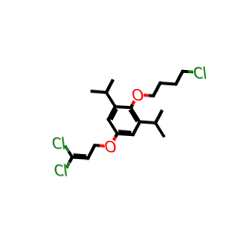 CC(C)c1cc(OCC=C(Cl)Cl)cc(C(C)C)c1OCCCCCl